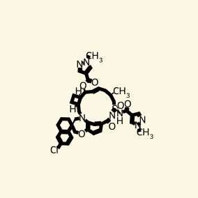 C[C@H]1C/C=C/[C@H](OC(=O)c2cnn(C)c2)[C@@H]2CC[C@H]2CN2C[C@@]3(CCCc4cc(Cl)ccc43)COc3ccc(cc32)C(=O)N=[S@](=O)(NC(=O)c2cnn(C)c2)C1